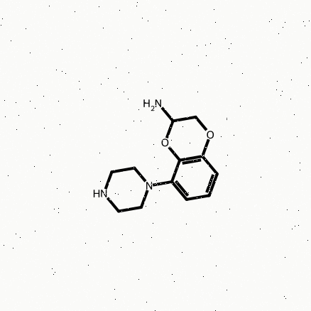 NC1COc2cccc(N3CCNCC3)c2O1